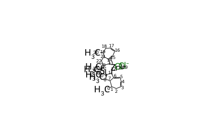 CC1CC=CC=C2C1CC1(C)[CH]2[Zr+2][CH]2C3=CC=CCC(C)C3CC2(C)[Si]1(C)C.[Cl-].[Cl-]